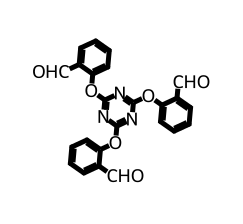 O=Cc1ccccc1Oc1nc(Oc2ccccc2C=O)nc(Oc2ccccc2C=O)n1